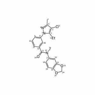 CCc1c(Cl)c(C)nn1-c1cccc(C(=O)N(C)c2ccc3c(c2)OCO3)c1